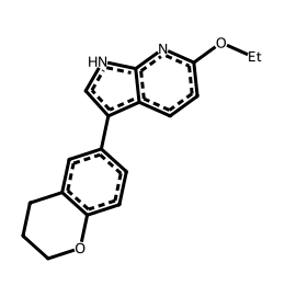 CCOc1ccc2c(-c3ccc4c(c3)CCCO4)c[nH]c2n1